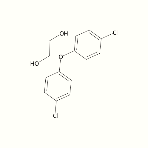 Clc1ccc(Oc2ccc(Cl)cc2)cc1.OCCO